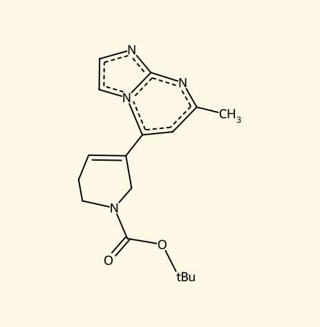 Cc1cc(C2=CCCN(C(=O)OC(C)(C)C)C2)n2ccnc2n1